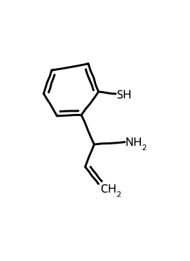 C=CC(N)c1ccccc1S